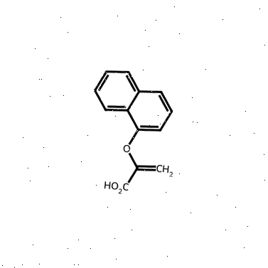 C=C(Oc1cccc2ccccc12)C(=O)O